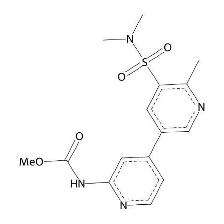 COC(=O)Nc1cc(-c2cnc(C)c(S(=O)(=O)N(C)C)c2)ccn1